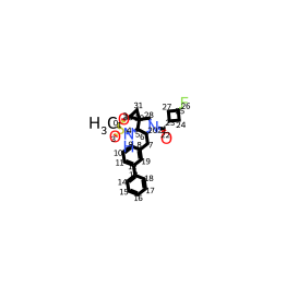 CS(=O)(=O)NC1C(Cc2cccc(-c3ccccc3)c2)N(C(=O)[C@H]2C[C@H](F)C2)CC12CC2